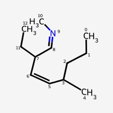 CCCC(C)/C=C\C(/C=N\C)CC